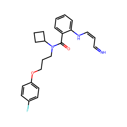 N=C/C=C\Nc1ccccc1C(=O)N(CCCOc1ccc(F)cc1)C1CCC1